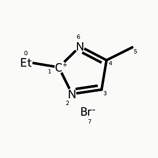 CC[C+]1N=CC(C)=N1.[Br-]